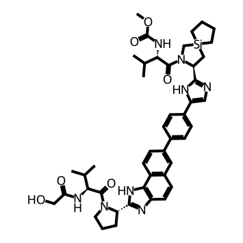 COC(=O)N[C@H](C(=O)N1C[Si]2(CCCC2)C[C@H]1c1ncc(-c2ccc(-c3ccc4c(ccc5nc([C@@H]6CCCN6C(=O)[C@@H](NC(=O)CO)C(C)C)[nH]c54)c3)cc2)[nH]1)C(C)C